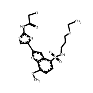 CCOCCCNS(=O)(=O)c1ccc(OC)c2oc(-c3csc(NC(=O)CCl)n3)cc12